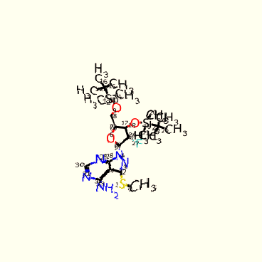 CSc1nn([C@@H]2O[C@@H](CO[Si](C)(C)C(C)(C)C)C(O[Si](C)(C)C(C)(C)C)[C@@H]2F)c2ncnc(N)c12